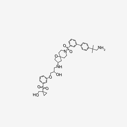 CC(C)(CN)c1ccc(-c2cccc(S(=O)(=O)N3CCC4(CC3)C[C@@H](NCC(O)COc3cccc(S(=O)(=O)C5(CO)CC5)c3)CO4)c2)cc1